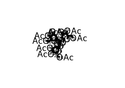 CC(=O)OCC1OC(OP(=O)(OC2CC(OC(C)=O)C(OC(C)=O)C(COC(C)=O)O2)OC2C[C@H](OC(C)=O)[C@@H](OC(C)=O)[C@@H](COC(C)=O)O2)CC(OC(C)=O)C1OC(C)=O